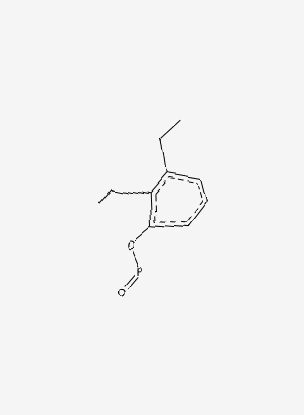 CCc1cccc(OP=O)c1CC